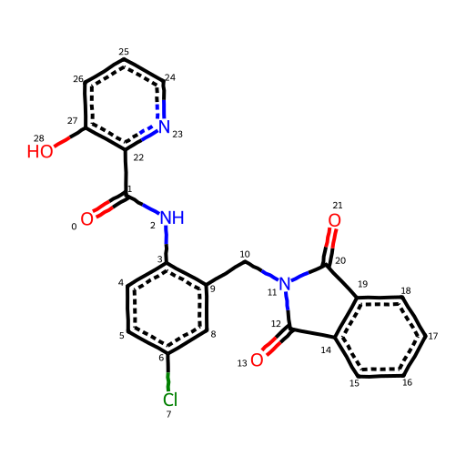 O=C(Nc1ccc(Cl)cc1CN1C(=O)c2ccccc2C1=O)c1ncccc1O